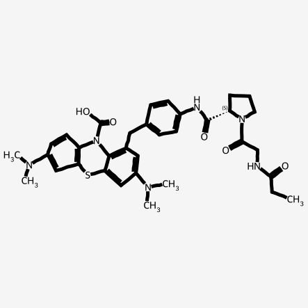 CCC(=O)NCC(=O)N1CCC[C@H]1C(=O)Nc1ccc(Cc2cc(N(C)C)cc3c2N(C(=O)O)c2ccc(N(C)C)cc2S3)cc1